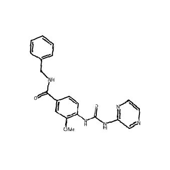 COc1cc(C(=O)NCc2ccccc2)ccc1NC(=O)Nc1cnccn1